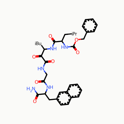 CCC(C)C(NC(=O)C(CC(C)C)NC(=O)OCc1ccccc1)C(=O)C(=O)NCC(=O)NC(Cc1ccc2ccccc2c1)C(N)=O